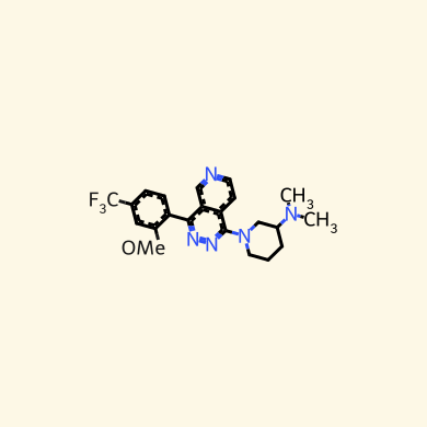 COc1cc(C(F)(F)F)ccc1-c1nnc(N2CCCC(N(C)C)C2)c2ccncc12